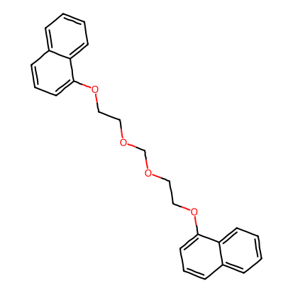 c1ccc2c(OCCOCOCCOc3cccc4ccccc34)cccc2c1